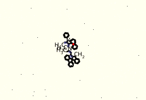 C=C1/C(=C\C=C(/CC)N(/C(C)=c2/c(=C\C)n(-c3ccccc3)c3ccccc23)c2ccccc2)C2(c3ccccc31)c1ccccc1-c1ccccc12